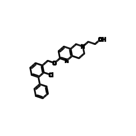 OCCN1CCc2nc(OCc3cccc(-c4ccccc4)c3Cl)ccc2C1